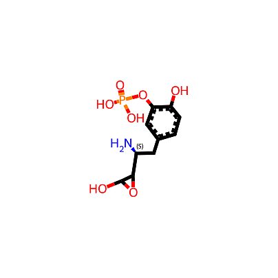 N[C@@H](Cc1ccc(O)c(OP(=O)(O)O)c1)C1OC1O